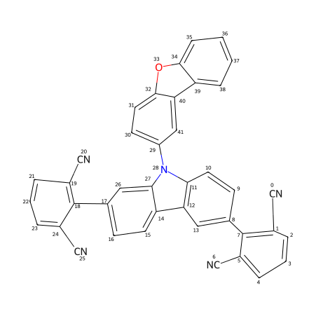 N#Cc1cccc(C#N)c1-c1ccc2c(c1)c1ccc(-c3c(C#N)cccc3C#N)cc1n2-c1ccc2oc3ccccc3c2c1